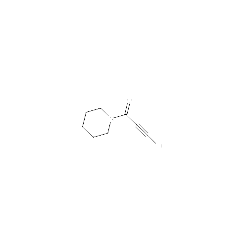 CCC#CC(=O)N1CCCCC1